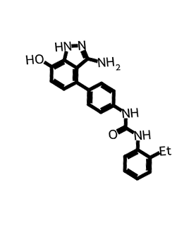 CCc1ccccc1NC(=O)Nc1ccc(-c2ccc(O)c3[nH]nc(N)c23)cc1